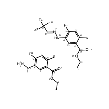 CCOC(=O)c1cc(NN)c(F)cc1C.CCOC(=O)c1cc(NN=CC(F)(F)F)c(F)cc1C